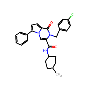 CC1CCC(NC(=O)c2cn3c(-c4ccccc4)ccc3c(=O)n2Cc2ccc(Cl)cc2)CC1